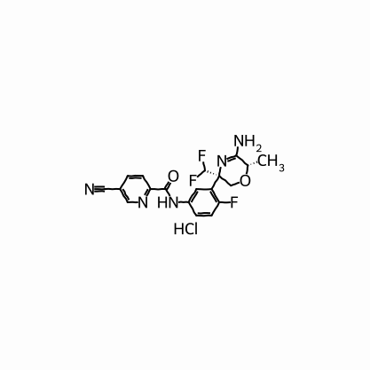 C[C@@H]1OC[C@](c2cc(NC(=O)c3ccc(C#N)cn3)ccc2F)(C(F)F)N=C1N.Cl